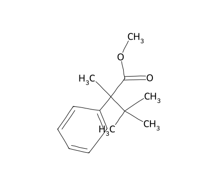 COC(=O)C(C)(c1ccccc1)C(C)(C)C